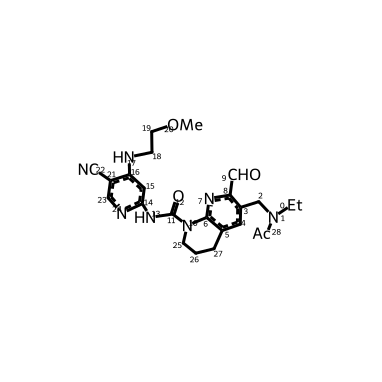 CCN(Cc1cc2c(nc1C=O)N(C(=O)Nc1cc(NCCOC)c(C#N)cn1)CCC2)C(C)=O